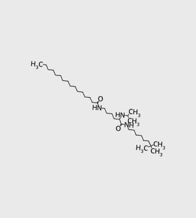 CCCCCCCCCCCCCCCC(=O)NCCCCC(NC(C)C)C(=O)NCCCCCCC(C)(C)C